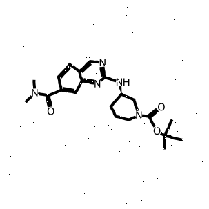 CN(C)C(=O)c1ccc2cnc(N[C@@H]3CCCN(C(=O)OC(C)(C)C)C3)nc2c1